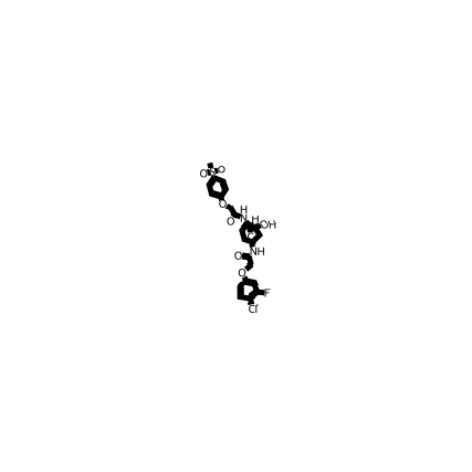 CS(=O)(=O)c1ccc(OCC(=O)NC23CCC(NC(=O)COc4ccc(Cl)c(F)c4)(CC2)C[C@@H]3O)cc1